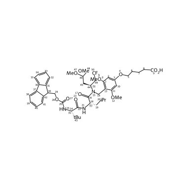 COc1cc(OCCCCC(=O)O)cc(OC)c1CN(C(=O)[C@H](CC(C)C)NC(=O)[C@@H](NC(=O)OCC1c2ccccc2-c2ccccc21)C(C)(C)C)[C@@H](CC(OC)OC)CC(F)(F)F